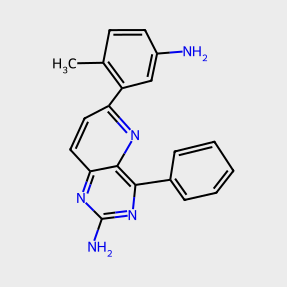 Cc1ccc(N)cc1-c1ccc2nc(N)nc(-c3ccccc3)c2n1